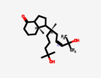 CC(C)(O)CCC[C@](C)(C/C=C\C(O)(C(F)(F)F)C(F)(F)F)C1CCC2C(=O)CCC[C@@]21C